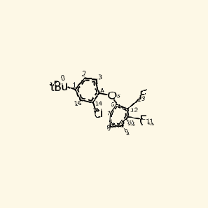 CC(C)(C)c1ccc(Oc2cccc(F)c2F)c(Cl)c1